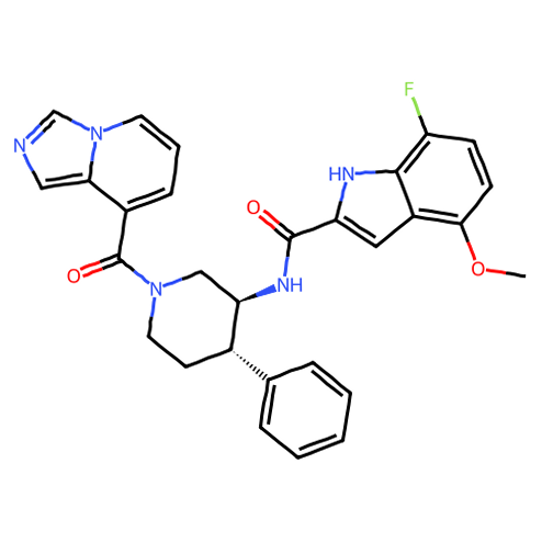 COc1ccc(F)c2[nH]c(C(=O)N[C@@H]3CN(C(=O)c4cccn5cncc45)CC[C@H]3c3ccccc3)cc12